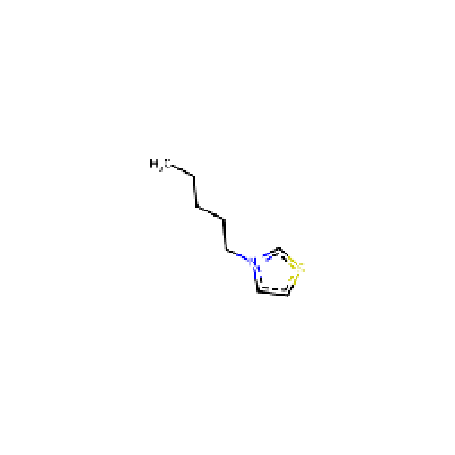 CCCCC[n+]1ccsc1